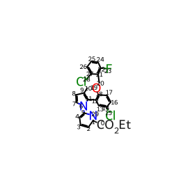 CCOC(=O)c1cccc(-n2ccc(C)c2-c2cc(Cl)ccc2OCc2c(F)cccc2Cl)n1